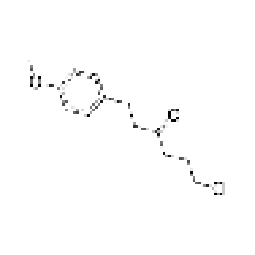 COc1ccc(CCC(=O)CCCCl)cc1